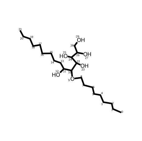 CCCCCCCCCOC(C(O)CCCCCCCCC)C(O)C(O)C(O)CO